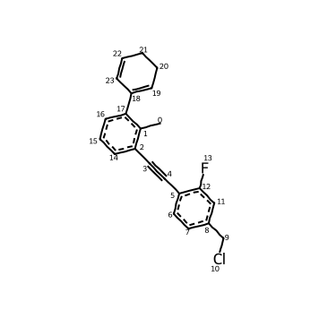 Cc1c(C#Cc2ccc(CCl)cc2F)cccc1C1=CCCC=C1